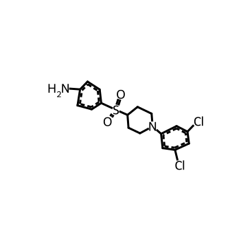 Nc1ccc(S(=O)(=O)C2CCN(c3cc(Cl)cc(Cl)c3)CC2)cc1